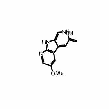 C=C(O)/C=c1\c(=C/N)[nH]c2ncc(OC)cc12